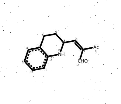 CC(=O)C([C]=O)=CC1CCc2ccccc2N1